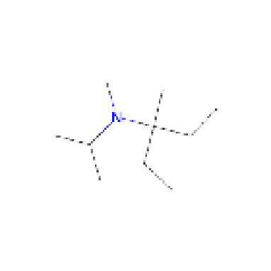 CCC(C)(CC)N(C)C(C)C